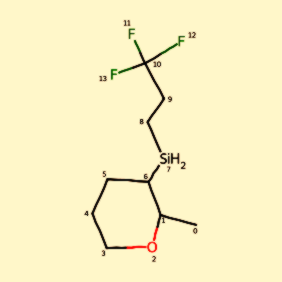 CC1OCCCC1[SiH2]CCC(F)(F)F